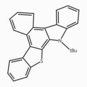 CC(C)(C)n1c2ccccc2c2c3ccccc3c3c4ccccc4sc3c21